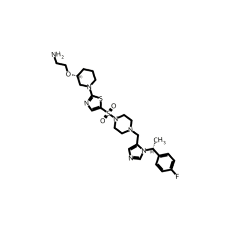 C[C@H](c1ccc(F)cc1)n1cncc1CN1CCN(S(=O)(=O)c2cnc(N3CCC[C@@H](OCCN)C3)s2)CC1